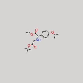 CCOC(=O)C(NCC(=O)OC(C)(C)C)c1ccc(OC(C)C)cc1